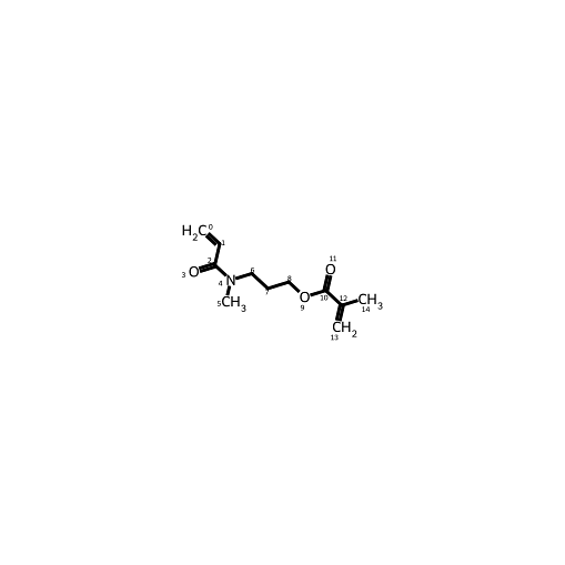 C=CC(=O)N(C)CCCOC(=O)C(=C)C